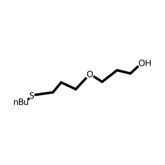 CCCCSCCCOCCCO